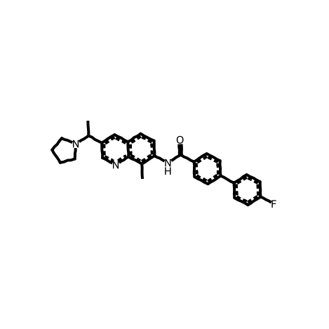 Cc1c(NC(=O)c2ccc(-c3ccc(F)cc3)cc2)ccc2cc(C(C)N3CCCC3)cnc12